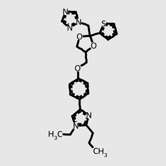 CCCc1nc(-c2ccc(OCC3COC(Cn4cncn4)(c4cccs4)O3)cc2)cn1CC